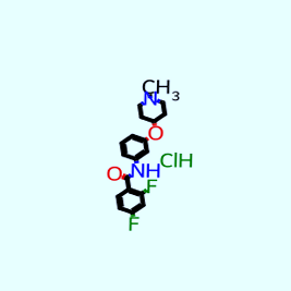 CN1CCC(Oc2cccc(NC(=O)c3ccc(F)cc3F)c2)CC1.Cl